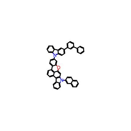 c1ccc(-c2cccc(-c3ccc4c(c3)c3ccccc3n4-c3ccc4c(c3)Oc3cc5c(c6cccc-4c36)c3ccccc3n5-c3ccc4ccccc4c3)c2)cc1